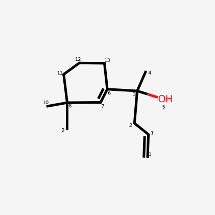 C=CCC(C)(O)C1=CC(C)(C)CCC1